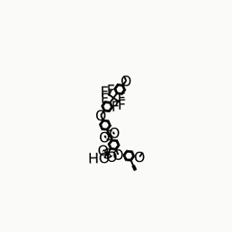 C#Cc1cc(Oc2ccc(S(=O)(=O)c3ccc(Oc4ccc(C(c5ccc(OC)cc5)(C(F)(F)F)C(F)(F)F)cc4)cc3)cc2S(=O)(=O)O)ccc1OC